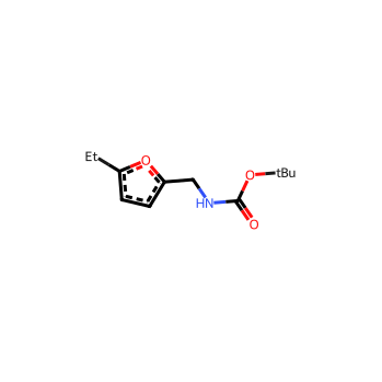 CCc1ccc(CNC(=O)OC(C)(C)C)o1